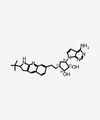 CC(C)(C)C1Cc2cc3ccc(CC[C@H]4C[C@@H](n5ccc6c(N)ncnc65)[C@H](O)[C@@H]4O)cc3nc2N1